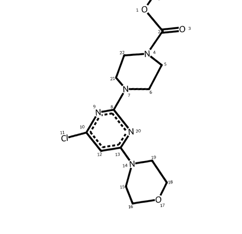 CC(C)(C)OC(=O)N1CCN(c2nc(Cl)cc(N3CCOCC3)n2)CC1